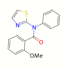 COc1ccccc1C(=O)N(c1ccccc1)c1nccs1